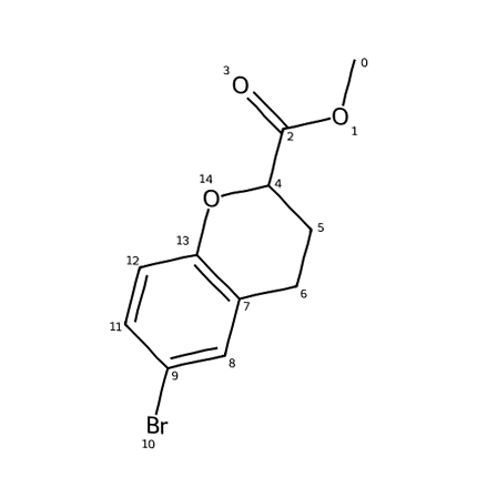 COC(=O)C1CCc2cc(Br)ccc2O1